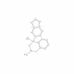 CN1Cc2ccccc2C(O)(c2ccc3ccsc3c2)C1